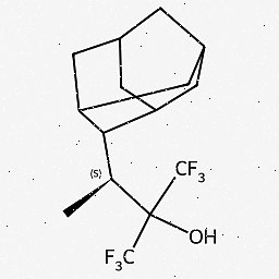 C[C@@H](C1C2CC3CC(C2)CC1C3)C(O)(C(F)(F)F)C(F)(F)F